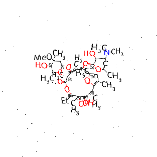 CC[C@H]1OC(=O)[C@H](C)[C@@H](O[C@H]2CC(C)(OC)[C@@H](O)C(C)O2)[C@H](C)[C@@H](O[C@@H]2OC(C)CC(N(C)C)C2O)[C@@]2(C)CC(C)=C(O2)[C@H](C)[C@@H](O)[C@]1(C)O